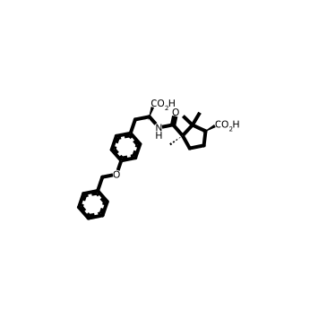 CC1(C)[C@@H](C(=O)O)CC[C@@]1(C)C(=O)N[C@@H](Cc1ccc(OCc2ccccc2)cc1)C(=O)O